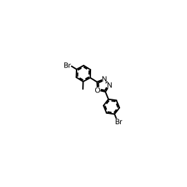 Cc1cc(Br)ccc1-c1nnc(-c2ccc(Br)cc2)o1